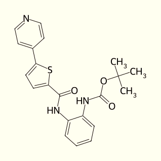 CC(C)(C)OC(=O)Nc1ccccc1NC(=O)c1ccc(-c2ccncc2)s1